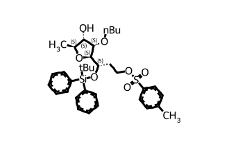 CCCCO[C@H]1[C@@H](O)[C@H](C)O[C@@H]1[C@H](CCOS(=O)(=O)c1ccc(C)cc1)O[Si](c1ccccc1)(c1ccccc1)C(C)(C)C